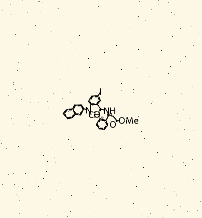 COC(=O)C[C@H](NC(=O)c1cc(I)ccc1N(C)c1ccc2ccccc2c1)c1ccccc1